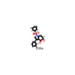 COc1cccc(-c2cn(S(=O)(=O)c3ccccc3)c3c2C(=O)C(=O)C=C3)c1